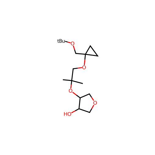 CC(C)(C)OCC1(OCC(C)(C)OC2COCC2O)CC1